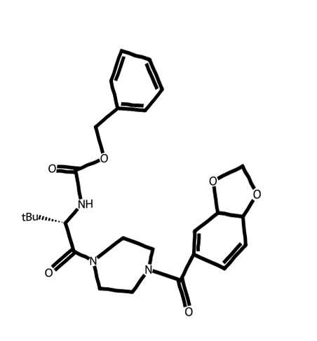 CC(C)(C)[C@H](NC(=O)OCc1ccccc1)C(=O)N1CCN(C(=O)C2=CC3OCOC3C=C2)CC1